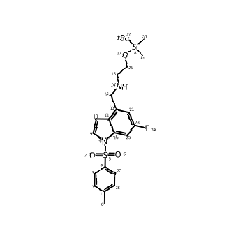 Cc1ccc(S(=O)(=O)n2ccc3c(CNCCO[Si](C)(C)C(C)(C)C)cc(F)cc32)cc1